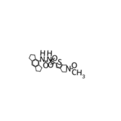 CC(=O)N1CCc2cc(S(=O)(=O)NC(=O)Nc3c4c(cc5c3CCC5)CCC4)sc2C1